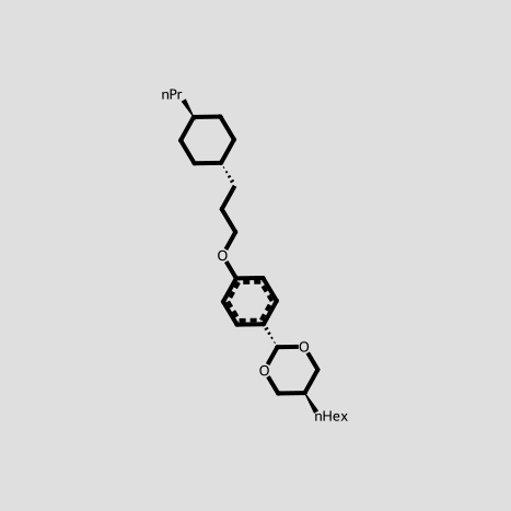 CCCCCC[C@H]1CO[C@H](c2ccc(OCCC[C@H]3CC[C@H](CCC)CC3)cc2)OC1